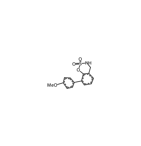 COc1ccc(-c2cccc3c2OS(=O)(=O)NC3)cc1